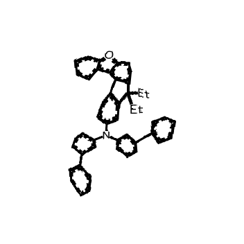 CCC1(CC)c2cc(N(c3cccc(-c4ccccc4)c3)c3cccc(-c4ccccc4)c3)ccc2-c2c1ccc1oc3ccccc3c21